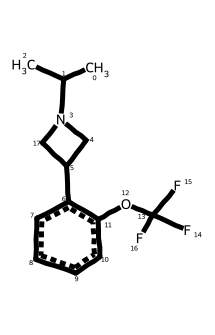 CC(C)N1CC(c2ccccc2OC(F)(F)F)C1